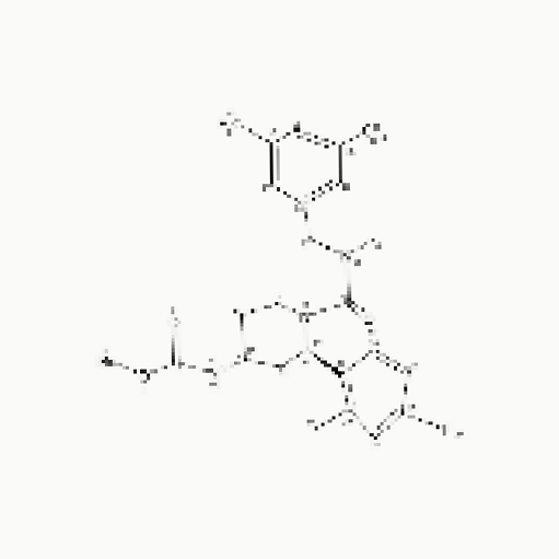 CCC(C)OC(=O)N[C@@H]1CCN(C(=O)N(C)Cc2cc(C(F)(F)F)cc(C(F)(F)F)c2)[C@@H](c2ccc(F)cc2C)C1